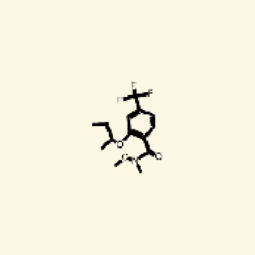 CCC(C)Oc1cc(C(F)(F)F)ccc1C(=O)N(C)OC